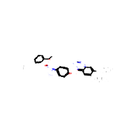 COc1cc2ncnc(Oc3ccc(NC(=O)OC(C)c4cccc(C(F)(F)F)c4)cc3)c2cc1OC